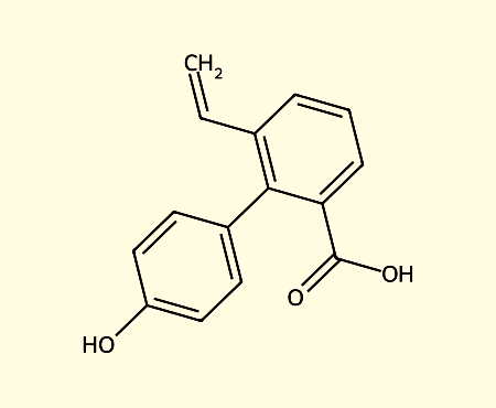 C=Cc1cccc(C(=O)O)c1-c1ccc(O)cc1